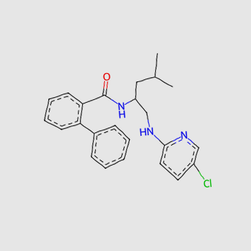 CC(C)CC(CNc1ccc(Cl)cn1)NC(=O)c1ccccc1-c1ccccc1